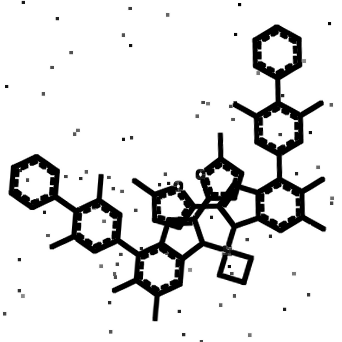 Cc1ccc(C2=Cc3c(cc(C)c(C)c3-c3cc(C)c(-c4ccccc4)c(C)c3)C2[Si]2(C3C(c4ccc(C)o4)=Cc4c3cc(C)c(C)c4-c3cc(C)c(-c4ccccc4)c(C)c3)CCC2)o1